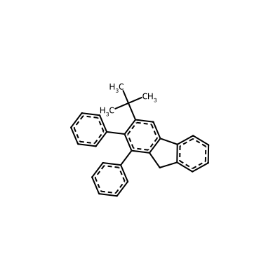 CC(C)(C)c1cc2c(c(-c3ccccc3)c1-c1ccccc1)Cc1ccccc1-2